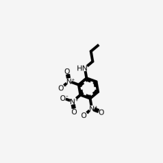 CCCNc1ccc([N+](=O)[O-])c([N+](=O)[O-])c1[N+](=O)[O-]